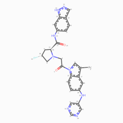 CC(=O)c1cn(C(=O)CN2C[C@H](F)C[C@H]2C(=O)Nc2ccc3cn[nH]c3c2)c2ccc(Nc3cncnc3)cc12